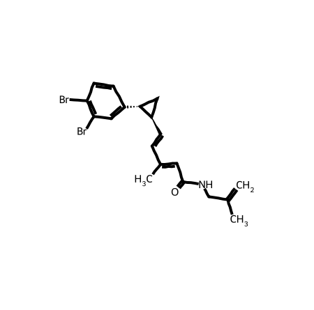 C=C(C)CNC(=O)C=C(C)C=C[C@@H]1C[C@H]1c1ccc(Br)c(Br)c1